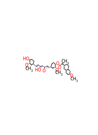 COc1ccc2cc([C@H](C)C(=O)Oc3ccc(/C=C/C(=O)/C=C(O)/C=C/c4ccc(O)c(OC)c4)cc3OC)ccc2c1